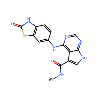 CC(C)NC(=O)c1c[nH]c2ncnc(Nc3ccc4[nH]c(=O)sc4c3)c12